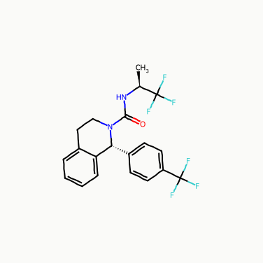 C[C@H](NC(=O)N1CCc2ccccc2[C@H]1c1ccc(C(F)(F)F)cc1)C(F)(F)F